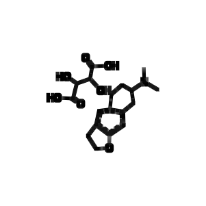 CN(C)C1CCc2cc3c(cc2C1)OCC3.O=C(O)C(O)C(O)C(=O)O